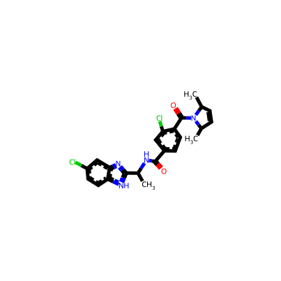 CC(NC(=O)c1ccc(C(=O)N2C(C)C=CC2C)c(Cl)c1)c1nc2cc(Cl)ccc2[nH]1